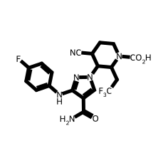 N#CC1CCN(C(=O)O)C(CC(F)(F)F)C1n1cc(C(N)=O)c(Nc2ccc(F)cc2)n1